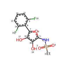 CCS(=O)(=O)Nc1oc(-c2c(F)cccc2F)c(O)c1O